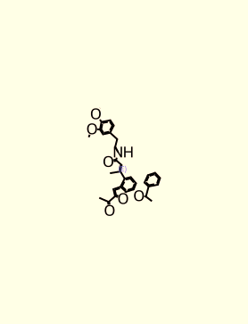 COc1ccc(CCNC(=O)/C=C(\C)c2ccc(OC(C)c3ccccc3)c3oc(C(C)=O)cc23)cc1OC